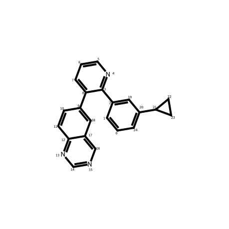 c1cc(-c2ncccc2-c2ccc3ncncc3c2)cc(C2CC2)c1